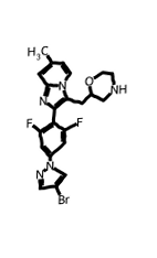 Cc1ccn2c(CC3CNCCO3)c(-c3c(F)cc(-n4cc(Br)cn4)cc3F)nc2c1